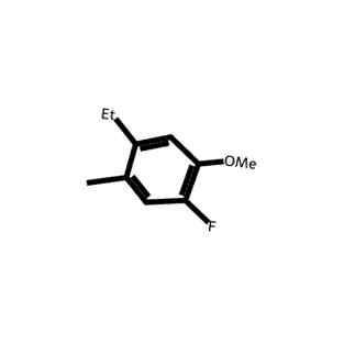 CCc1cc(OC)c(F)cc1C